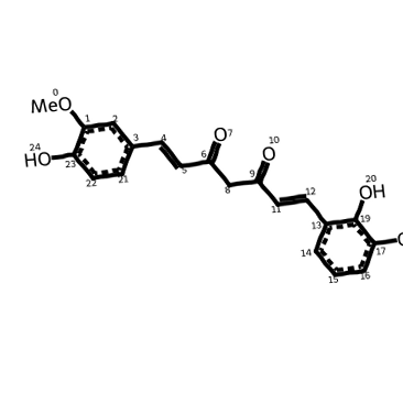 COc1cc(/C=C/C(=O)CC(=O)/C=C/c2cccc(O)c2O)ccc1O